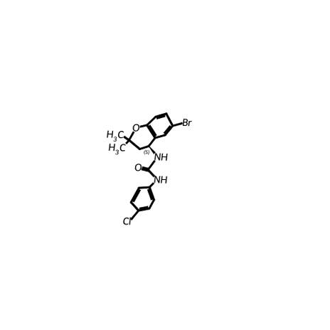 CC1(C)C[C@H](NC(=O)Nc2ccc(Cl)cc2)c2cc(Br)ccc2O1